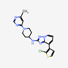 Cc1cc(N2CCC(Nc3nc4c(-c5ccsc5Cl)cccn4n3)CC2)ncn1